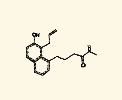 C=CCc1c(O)ccc2cccc(CCCC(=O)NC)c12